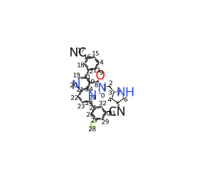 CN(C[C@@H]1CCCN1)C(=O)c1c(-c2cccc(C#N)c2)cnc2ccc(-c3cc(F)cc(C#N)c3)nc12